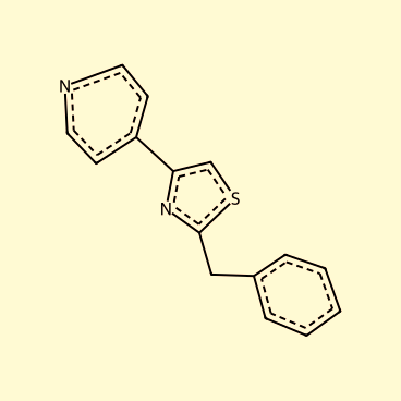 c1ccc(Cc2nc(-c3ccncc3)cs2)cc1